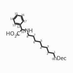 CCCCCCCCCCCCCCCCCCNC(C(=O)O)c1ccccc1